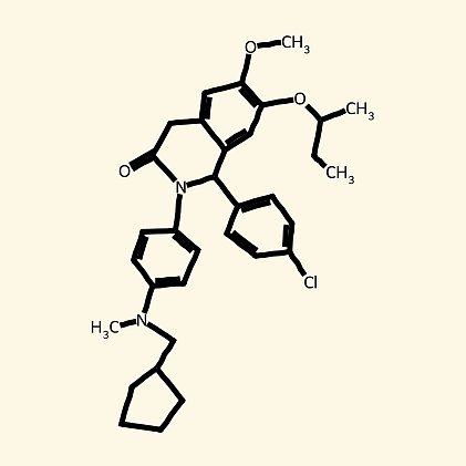 CCC(C)Oc1cc2c(cc1OC)CC(=O)N(c1ccc(N(C)CC3CCCC3)cc1)C2c1ccc(Cl)cc1